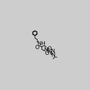 CC(C)n1cnc(S(=O)(=O)N2CCC(C(=O)NCCCc3ccccc3)CC2)c1